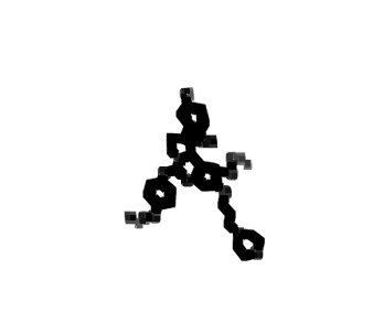 COc1ccc(OC(=O)N2CCc3c([nH]c4ccc(Cl)cc34)C2c2ccc(OCCCN3CCOCC3)c(OC)c2)cc1